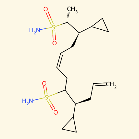 C=CC[C@@H](C1CC1)C(C/C=C\C[C@H](C1CC1)[C@@H](C)S(N)(=O)=O)S(N)(=O)=O